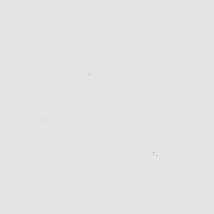 Cc1ccc2c(c1)C(=C1CCN(C)CC1)c1ccccc1-2